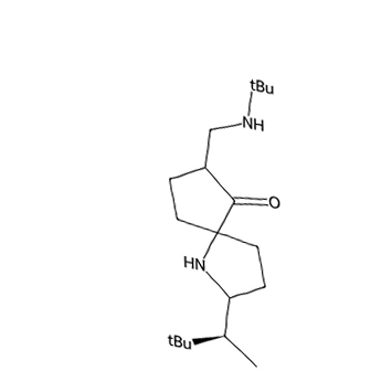 C[C@H](C1CCC2(CCC(CNC(C)(C)C)C2=O)N1)C(C)(C)C